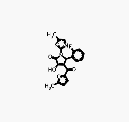 Cc1ccc(C(=O)C2=C(O)C(=O)N(c3ncc(C)s3)C2c2ccccc2F)o1